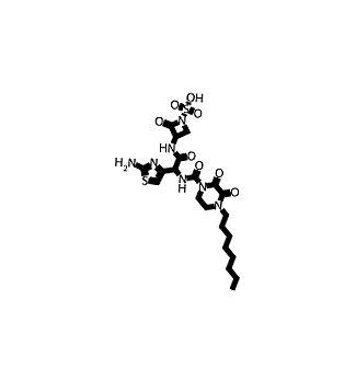 CCCCCCCCN1CCN(C(=O)NC(C(=O)NC2CN(S(=O)(=O)O)C2=O)c2csc(N)n2)C(=O)C1=O